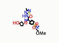 COCCN(C)S(=O)(=O)c1ccc(/C(=N\O[C@@H]2CC[C@@H](O)C2)C(=O)Nc2nc(C)ns2)cc1